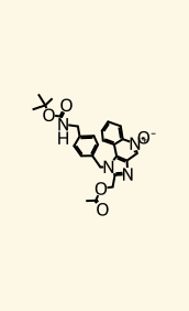 CC(=O)OCc1nc2c[n+]([O-])c3ccccc3c2n1Cc1ccc(CNC(=O)OC(C)(C)C)cc1